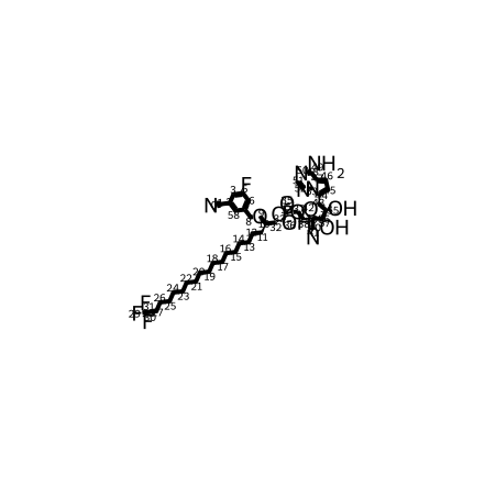 N#Cc1cc(F)cc(CO[C@H](CCCCCCCCCCCCCCCCCC(F)(F)F)COP(=O)(O)OC[C@@]2(C#N)O[C@@H](c3ccc4c(N)ncnn34)[C@H](O)[C@@H]2O)c1